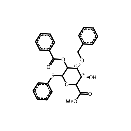 COC(=O)C1OC(Sc2ccccc2)C(OC(=O)c2ccccc2)[C@H](OCc2ccccc2)[C@@H]1O